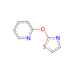 c1ccc(Oc2nccs2)nc1